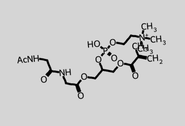 C=C(C)C(=O)OCC(COC(=O)CNC(=O)CNC(C)=O)OP(=O)(O)OCC[N+](C)(C)C